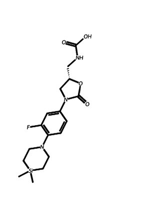 C[Si]1(C)CCN(c2ccc(N3C[C@H](CNC(=O)O)OC3=O)cc2F)CC1